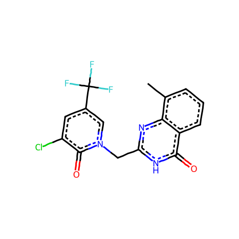 Cc1cccc2c(=O)[nH]c(Cn3cc(C(F)(F)F)cc(Cl)c3=O)nc12